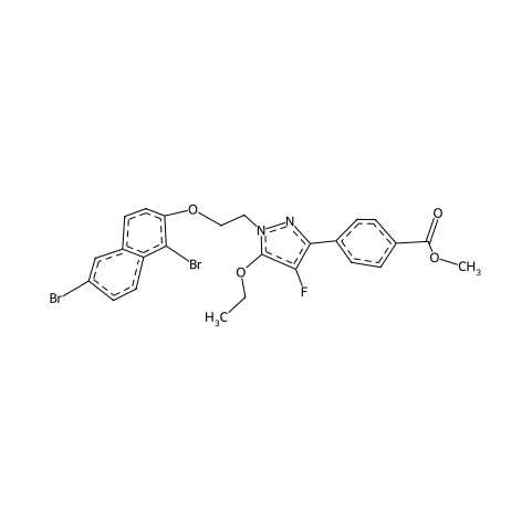 CCOc1c(F)c(-c2ccc(C(=O)OC)cc2)nn1CCOc1ccc2cc(Br)ccc2c1Br